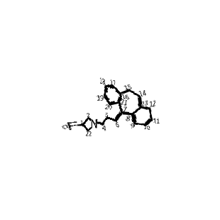 FC1CN(CCC=C2C3=CC=CCC3=CCc3ccccc32)C1